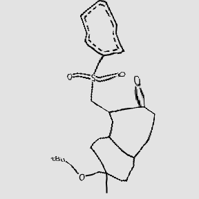 CC(C)(C)OC1(C)CC2CCC(=O)C(CS(=O)(=O)c3ccccc3)C2C1